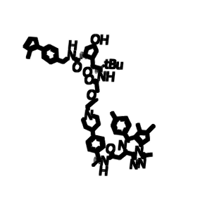 CC1=C(c2ccc(CNC(=O)[C@@H]3CC(O)CC3C(=O)[C@@H](NC(=O)COCCN3CCC(c4ccc([C@H](C)NC(=O)CC5N=C(c6ccc(C)cc6)C6=C(CC(C)=C6C)n6c(C)nnc65)cc4)CC3)C(C)(C)C)cc2)CC=C1